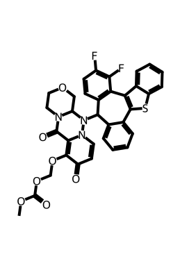 COC(=O)OCOc1c2n(ccc1=O)N(C1c3ccccc3-c3sc4ccccc4c3-c3c1ccc(F)c3F)C1COCCN1C2=O